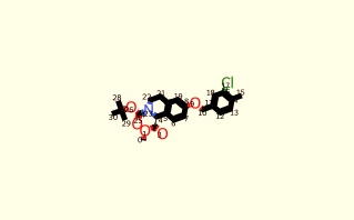 COC(=O)[C@H]1c2ccc(OCc3ccc(C)c(Cl)c3)cc2CCN1C(=O)OC(C)(C)C